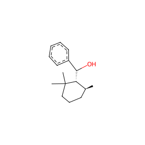 C[C@H]1CCCC(C)(C)[C@@H]1C(O)c1ccccc1